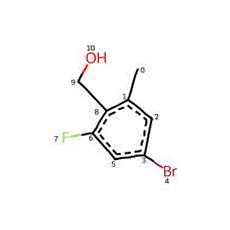 Cc1cc(Br)cc(F)c1CO